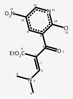 CCOC(=O)/C(=C\N(C)C)C(=O)c1cc([N+](=O)[O-])cnc1Cl